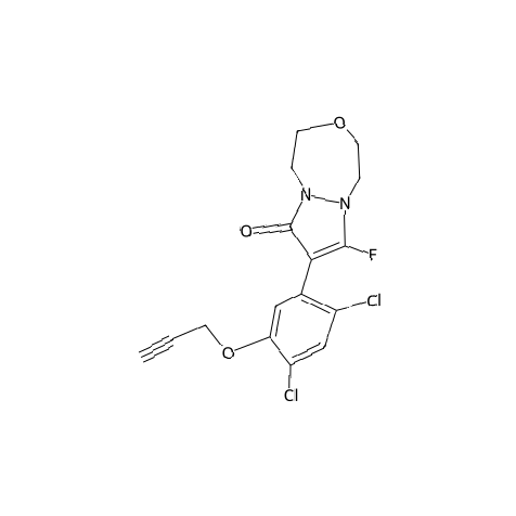 C#CCOc1cc(-c2c(F)n3n(c2=O)CCOCC3)c(Cl)cc1Cl